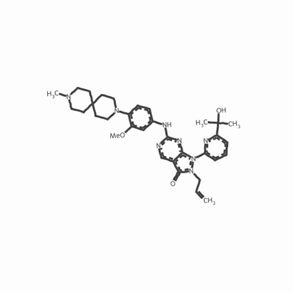 C=CCn1c(=O)c2cnc(Nc3ccc(N4CCC5(CCN(C)CC5)CC4)c(OC)c3)nc2n1-c1cccc(C(C)(C)O)n1